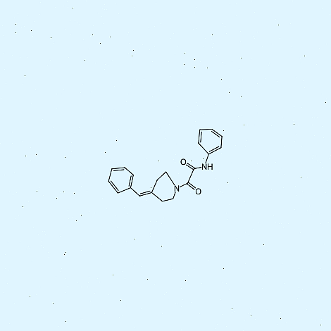 O=C(Nc1ccccc1)C(=O)N1CCC(=Cc2ccccc2)CC1